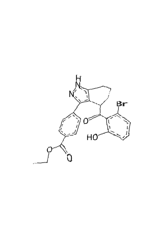 CCOC(=O)c1ccc(-c2n[nH]c3c2C(C(=O)c2c(O)cccc2Br)CCC3)cc1